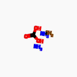 N.N.O=C(O)O.S